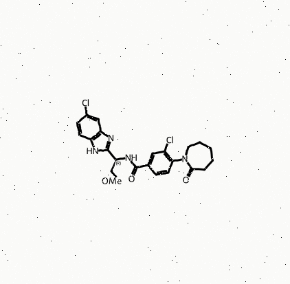 COC[C@H](NC(=O)c1ccc(N2CCCCCC2=O)c(Cl)c1)c1nc2cc(Cl)ccc2[nH]1